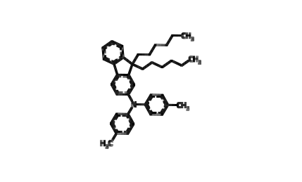 CCCCCCC1(CCCCCC)c2ccccc2-c2ccc(N(c3ccc(C)cc3)c3ccc(C)cc3)cc21